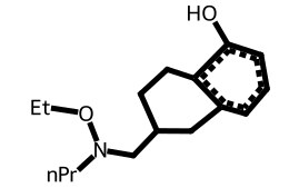 CCCN(CC1CCc2c(O)cccc2C1)OCC